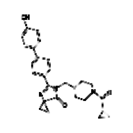 O=C(C1CC1)N1CCC(CN2C(=O)C3(CC3)N=C2c2ccc(-c3ccc(O)cc3)cc2)CC1